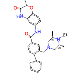 CCN1[C@H](C)CN(Cc2cc(C(=O)Nc3ccc4c(c3)NC(=O)C(C)O4)ccc2-c2ccccc2)C[C@@H]1C